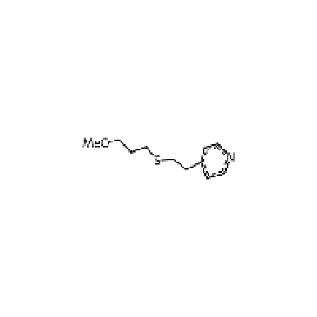 COCCCSCCc1ccncc1